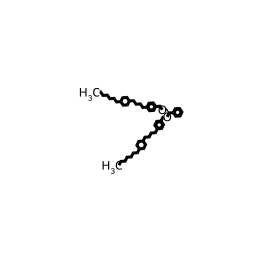 CCCCCCCC1CCC(CCCCc2ccc(COC[C@H](OCc3ccc(CCCCC4CCC(CCCCCCC)CC4)cc3)c3ccccc3)cc2)CC1